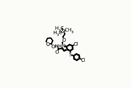 C[Si](C)(C)CCOCn1c(C(=O)NOC2CCCCO2)cc2c(Sc3ccc(Cl)cc3)cc(Cl)cc21